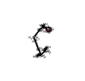 CCN1\C(=C/C=C/C=C/C2=[N+](CCCCCC(=O)NCCOCCOCCNC(=O)OCCC(C)(C)SSCOCCCCCNC(=O)NCC#Cc3cn([C@H]4C[C@H](OCN=[N+]=[N-])[C@@H](COP(=O)(O)OP(=O)(O)OP(=O)(O)O)O4)c4nc(N)[nH]c(=O)c34)c3ccc(S(=O)(=O)O)cc3C2(C)C)C(C)(C)c2cc(S(=O)(=O)O)ccc21